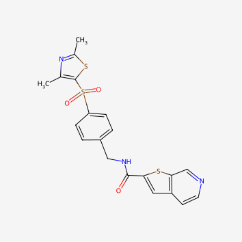 Cc1nc(C)c(S(=O)(=O)c2ccc(CNC(=O)c3cc4ccncc4s3)cc2)s1